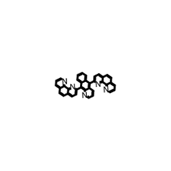 c1cnc2c(c1)ccc1ccc(-c3c4ccccc4c(-c4ccc5ccc6cccnc6c5n4)c4ncccc34)nc12